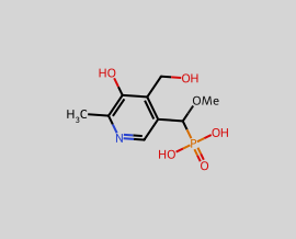 COC(c1cnc(C)c(O)c1CO)P(=O)(O)O